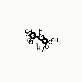 COc1ccc(C2Cc3cc(OC)c(OC)cc3CN2)cc1OC